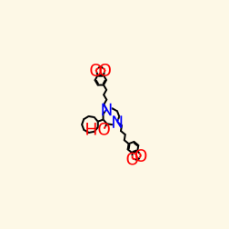 OC1CN(CCCCc2ccc3c(c2)OCO3)CCCN(CCCCc2ccc3c(c2)OCO3)CC1C1CCCCCCCC1